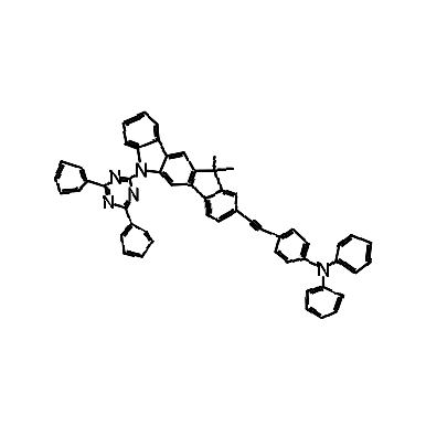 CC1(C)c2cc(C#Cc3ccc(N(c4ccccc4)c4ccccc4)cc3)ccc2-c2cc3c(cc21)c1ccccc1n3-c1nc(-c2ccccc2)nc(-c2ccccc2)n1